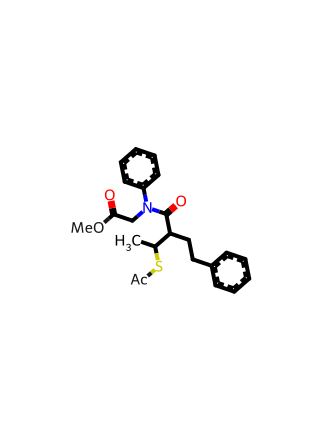 COC(=O)CN(C(=O)C(CCc1ccccc1)C(C)SC(C)=O)c1ccccc1